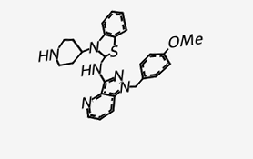 COc1ccc(Cn2nc(NC3Sc4ccccc4N3C3CCNCC3)c3ncccc32)cc1